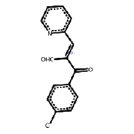 O=C/C(=C\c1ccccn1)C(=O)c1ccc(Cl)cc1